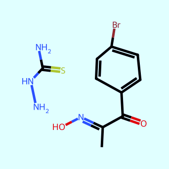 CC(=NO)C(=O)c1ccc(Br)cc1.NNC(N)=S